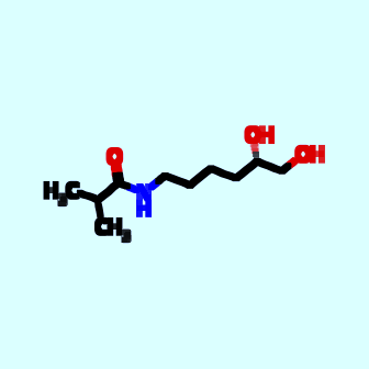 CC(C)C(=O)NCCCC[C@H](O)CO